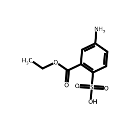 CCOC(=O)c1cc(N)ccc1S(=O)(=O)O